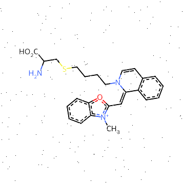 C[n+]1c(C=C2c3ccccc3C=CN2CCCCSCC(N)C(=O)O)oc2ccccc21